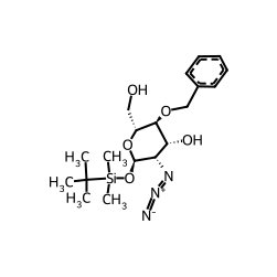 CC(C)(C)[Si](C)(C)O[C@H]1O[C@H](CO)[C@@H](OCc2ccccc2)[C@H](O)[C@@H]1N=[N+]=[N-]